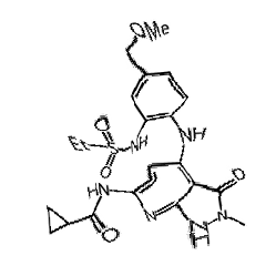 CCS(=O)(=O)Nc1cc(COC)ccc1Nc1cc(NC(=O)C2CC2)nc2[nH]n(C)c(=O)c12